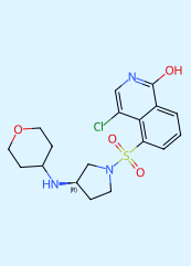 O=S(=O)(c1cccc2c(O)ncc(Cl)c12)N1CC[C@@H](NC2CCOCC2)C1